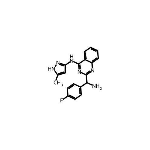 Cc1cc(Nc2nc(C(N)c3ccc(F)cc3)nc3ccccc23)n[nH]1